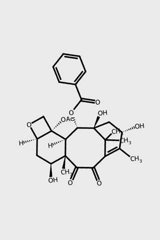 CC(=O)O[C@@]12CO[C@@H]1C[C@H](O)[C@@]1(C)C(=O)C(=O)C3=C(C)[C@@H](O)C[C@@](O)([C@@H](OC(=O)c4ccccc4)[C@H]21)C3(C)C